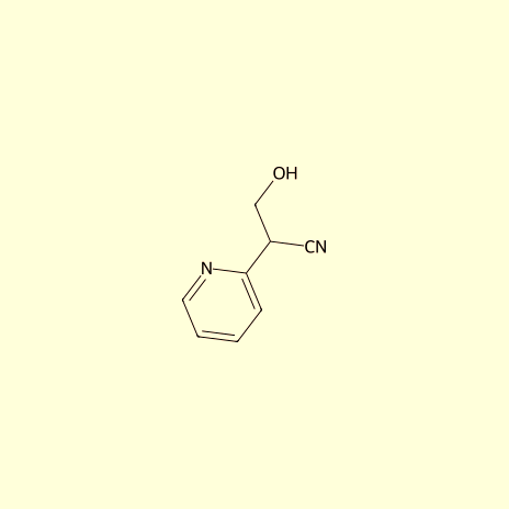 N#CC(CO)c1ccccn1